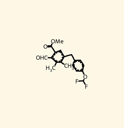 COC(=O)c1cc(Cc2ccc(OC(F)F)cc2)c(C)c(C)c1C=O